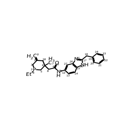 C=C1CP(CC)CC(C)(CC(=O)Nc2ccc3[nH]c(Cc4ccccc4)nc3c2)C1